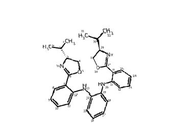 CC(C)[C@@H]1COC(c2ccccc2Nc2ccccc2Nc2ccccc2C2=N[C@H](C(C)C)CO2)=N1